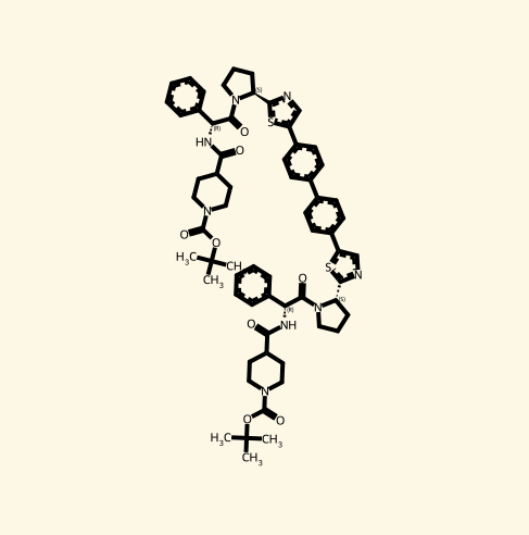 CC(C)(C)OC(=O)N1CCC(C(=O)N[C@@H](C(=O)N2CCC[C@H]2c2ncc(-c3ccc(-c4ccc(-c5cnc([C@@H]6CCCN6C(=O)[C@H](NC(=O)C6CCN(C(=O)OC(C)(C)C)CC6)c6ccccc6)s5)cc4)cc3)s2)c2ccccc2)CC1